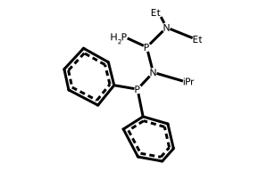 CCN(CC)P(P)N(C(C)C)P(c1ccccc1)c1ccccc1